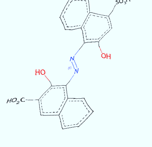 O=C(O)c1cc2ccccc2c(/N=N/c2c(O)cc(S(=O)(=O)O)c3ccccc23)c1O